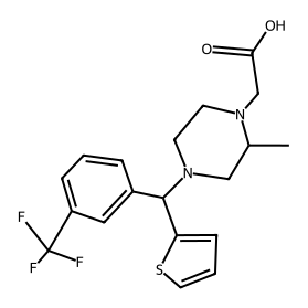 CC1CN(C(c2cccc(C(F)(F)F)c2)c2cccs2)CCN1CC(=O)O